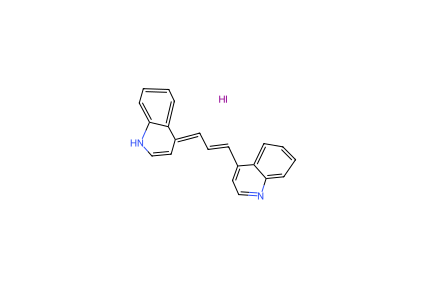 C(=Cc1ccnc2ccccc12)C=C1C=CNc2ccccc21.I